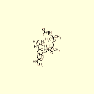 CNC(=O)CN(CC(=O)NC(C)C)C(=O)CCNC(=O)C(C)(C)CCOC(C)(C)CCNC(=O)I